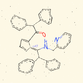 O=C(C1=CC=C/C1=C(/NCc1ccccn1)C(c1ccccc1)c1ccccc1)C(c1ccccc1)c1ccccc1